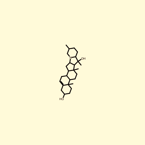 CC1CCC2N(C1)C1CC3C4CC=C5CC(O)CCC5(C)C4CCC3(C)C1C2(C)O